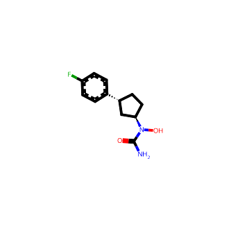 NC(=O)N(O)[C@@H]1CC[C@@H](c2ccc(F)cc2)C1